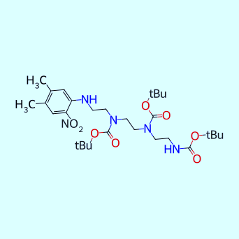 Cc1cc(NCCN(CCN(CCNC(=O)OC(C)(C)C)C(=O)OC(C)(C)C)C(=O)OC(C)(C)C)c([N+](=O)[O-])cc1C